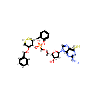 Cc1ccccc1OP(=O)(COC[C@H]1O[C@@H](n2cnc3c(S)nc(N)nc32)C[C@@H]1O)O[C@H]1CSSC[C@@H]1OCc1ccccc1